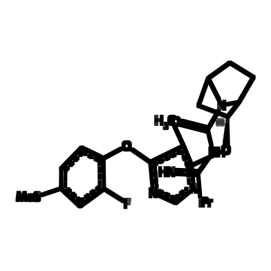 CSc1ccc(Oc2ncnc(O[C@H]3CC4CCC3N4C(=O)NC(=N)C(C)C)c2C)c(F)c1